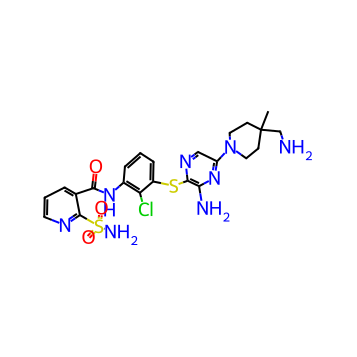 CC1(CN)CCN(c2cnc(Sc3cccc(NC(=O)c4cccnc4S(N)(=O)=O)c3Cl)c(N)n2)CC1